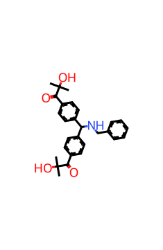 CC(C)(O)C(=O)c1ccc(C(NCc2ccccc2)c2ccc(C(=O)C(C)(C)O)cc2)cc1